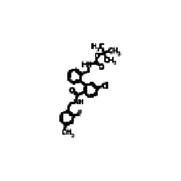 Cc1ccc(CNC(=O)c2ccc(Cl)cc2-c2ccccc2CNC(=O)OC(C)(C)C)c(F)c1